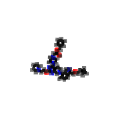 Cc1ccc2c(c1N1CCc3c(nc(OCCN4CCCCC4)nc3N3CCN(CC(=O)OCc4ccccc4)CC3)C1)C=NC2COCC[Si](C)(C)C